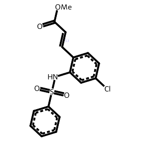 COC(=O)/C=C/c1ccc(Cl)cc1NS(=O)(=O)c1ccccc1